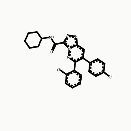 O=C(NC1CCCCC1)c1nnc2cc(-c3ccc(Cl)cc3)c(-c3ccccc3Cl)nn12